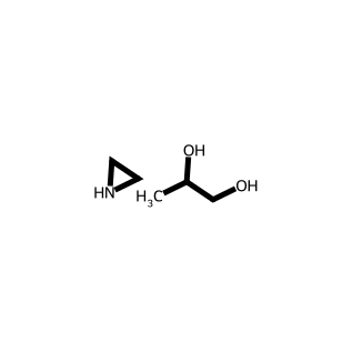 C1CN1.CC(O)CO